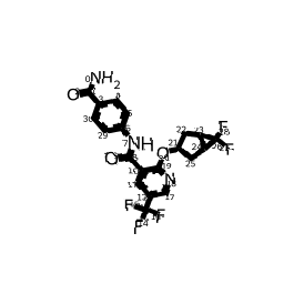 NC(=O)c1ccc(NC(=O)c2cc(C(F)(F)F)cnc2OC2CC3C(C2)C3(F)F)cc1